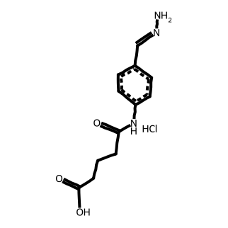 Cl.NN=Cc1ccc(NC(=O)CCCC(=O)O)cc1